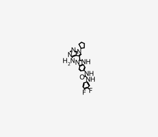 Nc1ncnc2c1c(-c1nc3ccc(NC(=O)Nc4ccc(F)c(F)c4)cc3[nH]1)cn2C1CCCC1